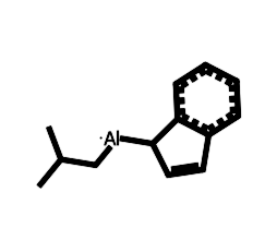 CC(C)[CH2][Al][CH]1C=Cc2ccccc21